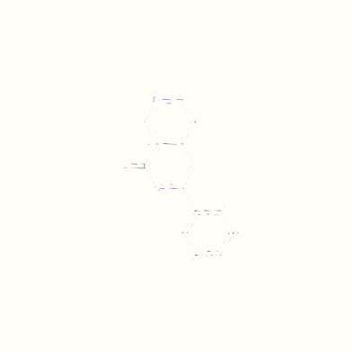 O=c1nc(-c2ccccc2)cc2cc[nH]cc1-2